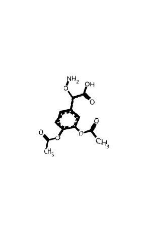 CC(=O)Oc1ccc(C(ON)C(=O)O)cc1OC(C)=O